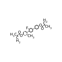 C=C(C)C(=O)OC1=CC=C(c2ccc(-c3ccc(OC(=O)C(=C)C)cc3)cc2F)C(C)C1